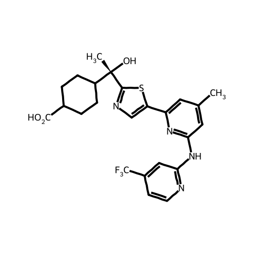 Cc1cc(Nc2cc(C(F)(F)F)ccn2)nc(-c2cnc([C@@](C)(O)C3CCC(C(=O)O)CC3)s2)c1